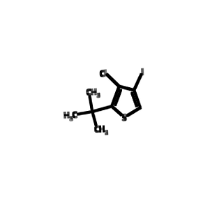 CC(C)(C)c1scc(I)c1Cl